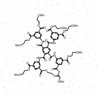 COCCOC(=O)c1cc(NC(=O)c2cc(C(=O)Nc3cc(C(=O)OCCOC)cc(C(=O)OCCOC)c3)c(C(=O)Nc3cc(C(=O)OCCOC)cc(C(=O)OCCOC)c3)cc2C(=O)Nc2cc(C(=O)OCCOC)cc(C(=O)OCCOC)c2)cc(C(=O)OCCOC)c1